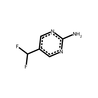 Nc1ncc(C(F)F)cn1